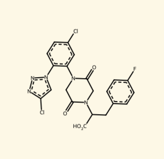 O=C(O)C(Cc1ccc(F)cc1)N1CC(=O)N(c2cc(Cl)ccc2-n2cc(Cl)nn2)CC1=O